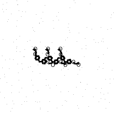 c1cc(OCC2CO2)ccc1Cc1ccc(OCC2CO2)c(Cc2cc(Cc3ccc(OCC4CO4)c(Cc4cc(Cc5ccc(OCC6CO6)cc5)ccc4OCC4CO4)c3)ccc2OCC2CO2)c1